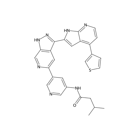 CC(C)CC(=O)Nc1cncc(-c2cc3c(-c4cc5c(-c6ccsc6)ccnc5[nH]4)n[nH]c3cn2)c1